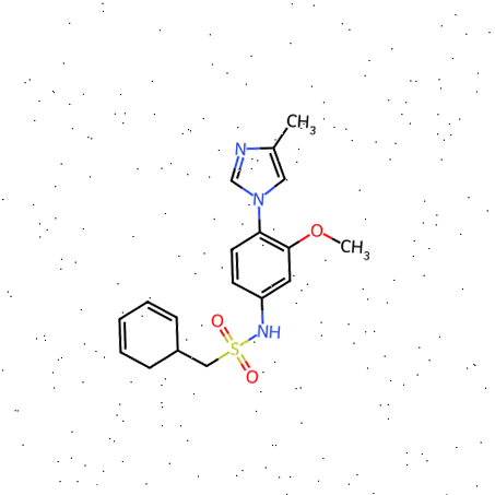 COc1cc(NS(=O)(=O)CC2C=CC=CC2)ccc1-n1cnc(C)c1